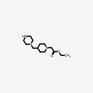 CCOC(=O)CN1CCC(CN2CCNCC2)CC1